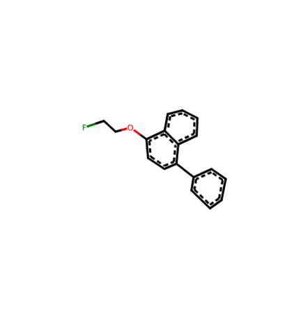 FCCOc1ccc(-c2ccccc2)c2ccccc12